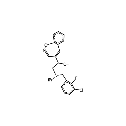 CC(C)N(Cc1cccc(Cl)c1F)CC(O)C1=Cc2ccccc2ON=C1